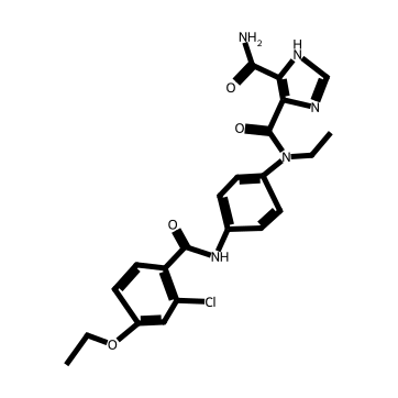 CCOc1ccc(C(=O)Nc2ccc(N(CC)C(=O)c3nc[nH]c3C(N)=O)cc2)c(Cl)c1